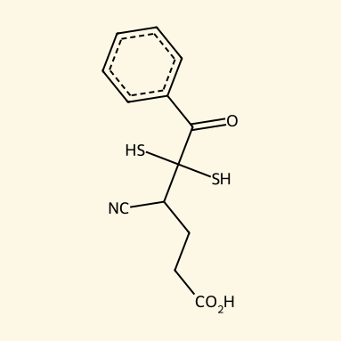 N#CC(CCC(=O)O)C(S)(S)C(=O)c1ccccc1